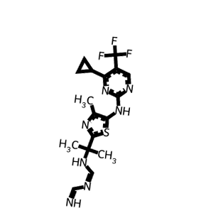 Cc1nc(C(C)(C)N/C=N\C=N)sc1Nc1ncc(C(F)(F)F)c(C2CC2)n1